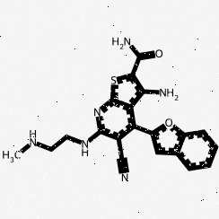 CNCCNc1nc2sc(C(N)=O)c(N)c2c(-c2cc3ccccc3o2)c1C#N